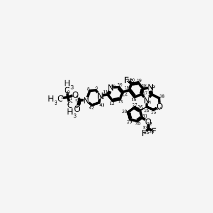 CC(C)(C)OC(=O)N1CCN(c2ccc(-c3cc4c(cc3F)nc3n4[C@H](c4ccccc4OC(F)F)COC3)cn2)CC1